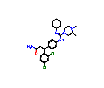 C[C@H]1CN(/C(=N\C2CCCCC2)Nc2ccc(C(CC(N)=O)c3ccc(Cl)cc3Cl)cc2)CCN1C